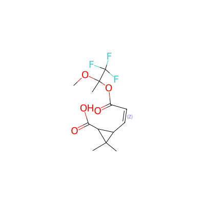 COC(C)(OC(=O)/C=C\C1C(C(=O)O)C1(C)C)C(F)(F)F